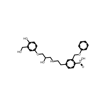 O=[P@@H](O)c1ccc(CCNCC(O)COc2ccc(O)c(CO)c2)cc1COc1ccccc1